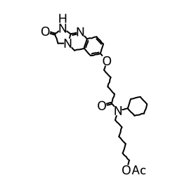 CC(=O)OCCCCCCN(C(=O)CCCCOc1ccc2c(c1)CN1CC(=O)NC1=N2)C1CCCCC1